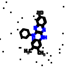 Cc1ccc(Nc2nc3ccc(N=O)cc3nc2NC2CCCCC2)cc1C